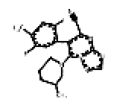 Cc1cc(F)c(-c2c(C#N)nc3ncnn3c2N2CCCC(C)C2)cc1F